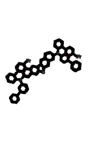 CC(C)c1ccc(-c2ccccc2N(c2ccc(-c3ccccc3)cc2)c2ccc3cc4c(cc3c2)oc2cc3cc(N(c5cccc(-c6ccccc6)c5)c5ccccc5-c5ccc(C(C)C)cc5)ccc3cc24)cc1